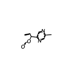 C=CC(OC=O)c1cnc(C)cn1